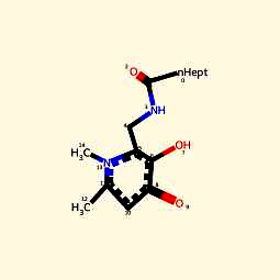 CCCCCCCC(=O)NCc1c(O)c(=O)cc(C)n1C